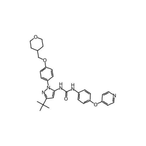 CC(C)(C)c1cc(NC(=O)Nc2ccc(Oc3ccncc3)cc2)n(-c2ccc(OCC3CCOCC3)cc2)n1